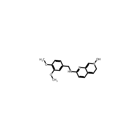 COc1ccc(CNc2ccc3c(n2)=CN(O)CC=3)cc1OC